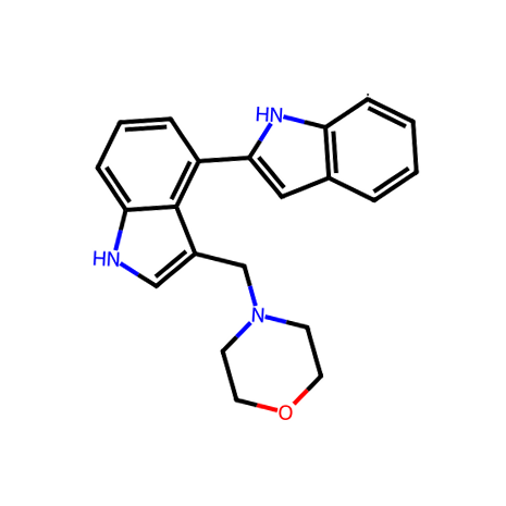 [c]1cccc2cc(-c3cccc4[nH]cc(CN5CCOCC5)c34)[nH]c12